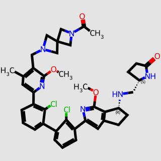 COc1nc(-c2cccc(-c3cccc(-c4cc5c(c(OC)n4)[C@H](NC[C@@H]4CCC(=O)N4)CC5)c3Cl)c2Cl)cc(C)c1CN1CC2(C1)CN(C(C)=O)C2